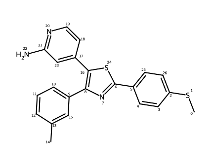 CSc1ccc(-c2nc(-c3cccc(C)c3)c(-c3ccnc(N)c3)s2)cc1